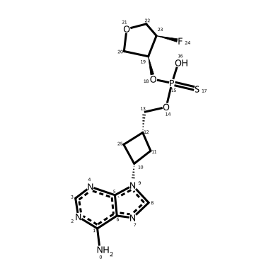 Nc1ncnc2c1ncn2[C@H]1C[C@@H](COP(O)(=S)O[C@H]2COC[C@H]2F)C1